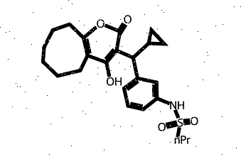 CCCS(=O)(=O)Nc1cccc(C(c2c(O)c3c(oc2=O)CCCCCC3)C2CC2)c1